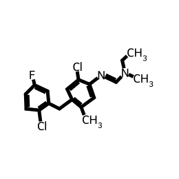 CCN(C)C=Nc1cc(C)c(Cc2cc(F)ccc2Cl)cc1Cl